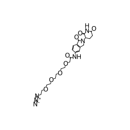 [N-]=[N+]=NCCOCCOCCOCCOCC(=O)Nc1ccc2c(c1)CN(C1CCC(=O)NC1=O)C2=O